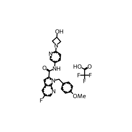 COc1ccc(Cn2c(C(=O)Nc3ccc(N4CC(O)C4)nc3)cc3cc(F)cnc32)cc1.O=C(O)C(F)(F)F